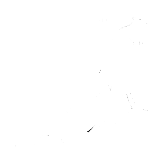 CCCOC(=O)C[C@@H]1Cc2ccccc2N(NC(=O)OC(C)(C)C)C1=O